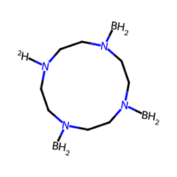 [2H]N1CCN(B)CCN(B)CCN(B)CC1